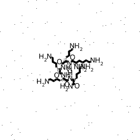 NCCCC[C@H](NC(=O)[C@H](CCCCN)NC(=O)[C@H](CCCCN)NC(=O)[C@H](CCCCN)NC(=O)[C@@H](N)CCCCN)C(N)=O